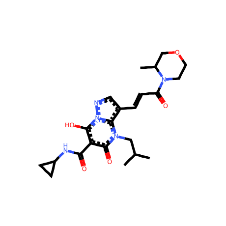 CC(C)Cn1c(=O)c(C(=O)NC2CC2)c(O)n2ncc(C=CC(=O)N3CCOCC3C)c12